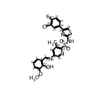 COc1cccc(/C=N/c2cnc(S(=O)(=O)Nc3nc(-c4ccc(F)c(Cl)c4)cs3)c(C)c2)c1O